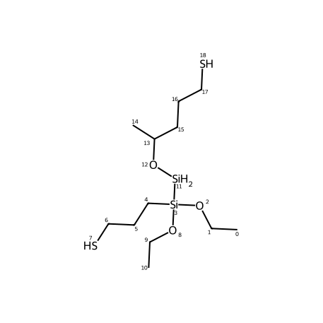 CCO[Si](CCCS)(OCC)[SiH2]OC(C)CCCS